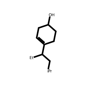 CCC(CC(C)C)C1=CCC(O)CC1